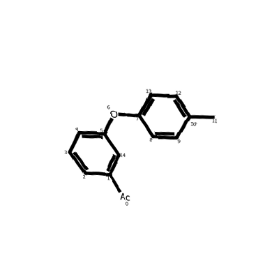 CC(=O)c1cccc(Oc2ccc(C)cc2)c1